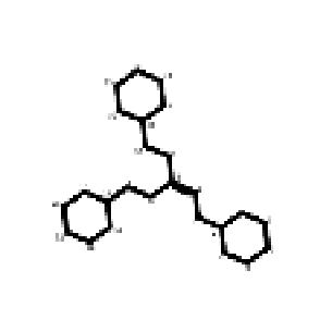 C(CC1CCCCC1)=C(CCC1CCCCC1)CCC1CCCCC1